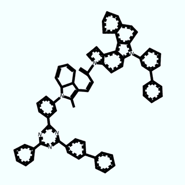 C=C(/C=C\C1=C(C)N(c2cccc(-c3nc(-c4ccccc4)nc(-c4ccc(-c5ccccc5)cc4)n3)c2)C2C=CC=CC12)n1ccc2c3c4c5ccccc5ccc4n(-c4cccc(-c5ccccc5)c4)c3ccc21